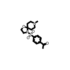 CC(=O)c1ccc(S(=O)(=O)N2CCOC23CCN(C)CC3)cc1